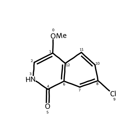 COc1c[nH]c(=O)c2cc(Cl)ccc12